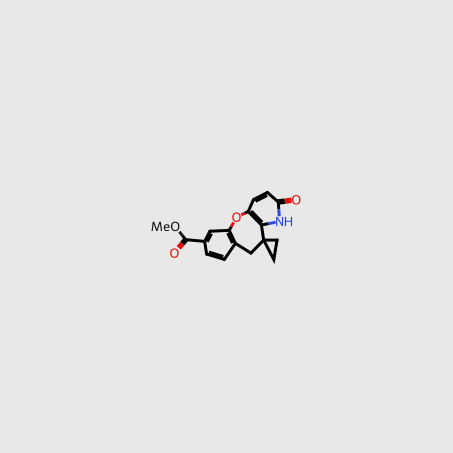 COC(=O)c1ccc2c(c1)Oc1ccc(=O)[nH]c1C1(CC1)C2